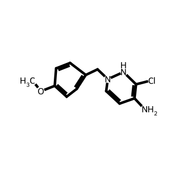 COc1ccc(CN2C=CC(N)=C(Cl)N2)cc1